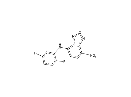 O=[N+]([O-])c1ccc(Nc2cc(F)ccc2F)c2nonc12